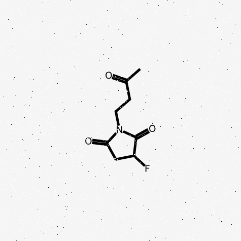 CC(=O)CCN1C(=O)CC(F)C1=O